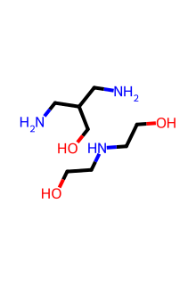 NCC(CN)CO.OCCNCCO